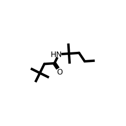 CCCC(C)(C)NC(=O)CC(C)(C)C